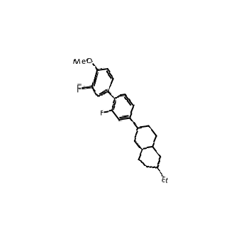 CCC1CCC2CC(c3ccc(-c4ccc(OC)c(F)c4)c(F)c3)CCC2C1